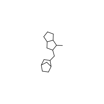 CC1C(CC2CC3CCC2C3)CC2CCCC21